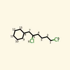 ClCCCCC(Cl)CC1CCCCC1